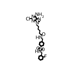 Nc1nc(Cl)nc2c1ncn2CCCCCC(=O)NCc1ccc(S(=O)(=O)NCc2ccccc2F)cc1